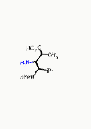 CCCCCC(C(C)C)C(N)C(C)C(=O)O